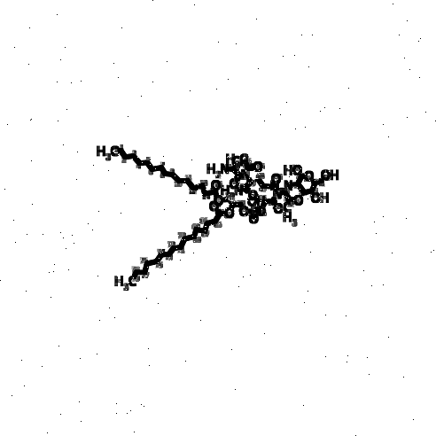 CCCCCCCCCCCCCCCC(=O)OC[C@H](COP(=O)(O)OCC(=O)N(CC(C)O[C@@H]1[C@@H](N)[C@@H](O)O[C@H](CO)[C@H]1O)C(=O)CC[C@H](C(N)=O)N(C(C)=O)C(=O)[C@H](C)N)OC(=O)CCCCCCCCCCCCCCC